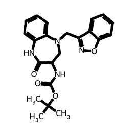 CC(C)(C)OC(=O)NC1CN(Cc2noc3ccccc23)c2ccccc2NC1=O